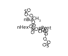 CCCCCCc1cc(-n2c3ccccc3c3cc(C(C)(CCCCC)c4ccc5oc6ccc(-c7cccc(-c8cccc9sc%10ccccc%10c89)c7)cc6c5c4)ccc32)c2oc3ccc(C(C)(CCCC)c4cccc(-c5cccc6sc7ccccc7c56)c4)cc3c2c1